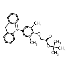 Cc1cc([SH]2c3ccccc3Cc3ccccc32)cc(C)c1OCC(=O)OC(C)(C)C